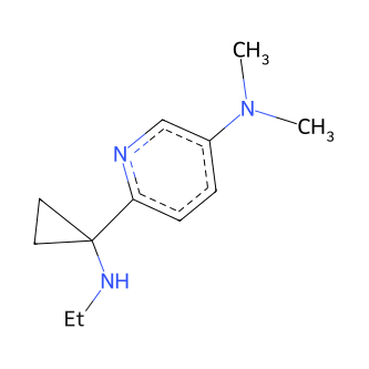 CCNC1(c2ccc(N(C)C)cn2)CC1